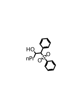 CCCC(O)C(c1ccccc1)S(=O)(=O)c1ccccc1